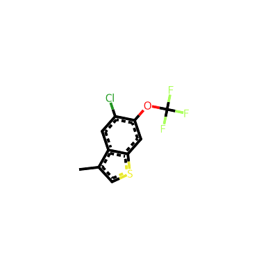 Cc1csc2cc(OC(F)(F)F)c(Cl)cc12